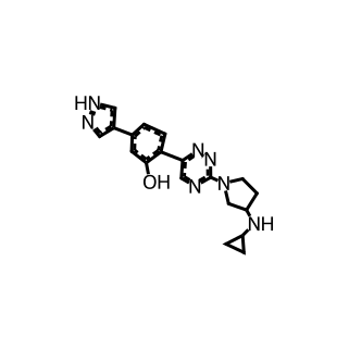 Oc1cc(-c2cn[nH]c2)ccc1-c1cnc(N2CCC(NC3CC3)C2)nn1